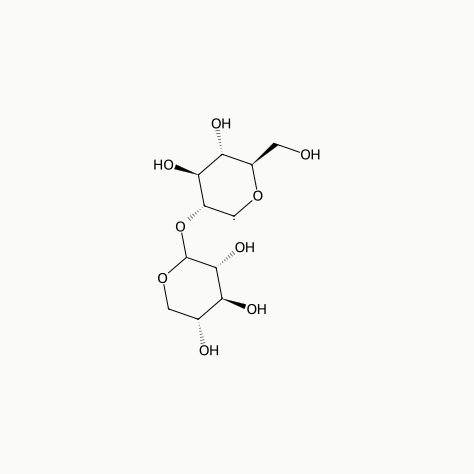 OC[C@H]1O[CH][C@H](OC2OC[C@@H](O)[C@H](O)[C@H]2O)[C@@H](O)[C@@H]1O